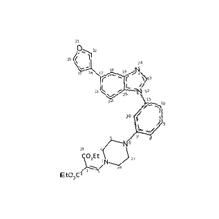 CCOC(=O)C(=CN1CCN(c2cccc(-n3cnc4cc(-c5ccoc5)ccc43)c2)CC1)C(=O)OCC